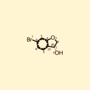 O[C@H]1COc2cc(Br)ccc21